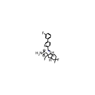 NS(=O)(=O)CC1(CF)C[C@@H]2CC(F)(F)CC[C@H]2[C@@H]1/C=C/c1ccc(-c2cccc(F)c2)cn1